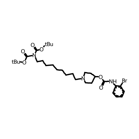 CC(C)(C)OC(=O)N(CCCCCCCCCN1CCC(OC(=O)Nc2ccccc2Br)CC1)C(=O)OC(C)(C)C